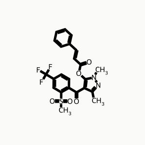 Cc1nn(C)c(OC(=O)/C=C/c2ccccc2)c1C(=O)c1ccc(C(F)(F)F)cc1S(C)(=O)=O